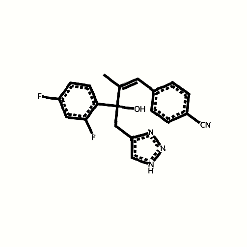 CC(=Cc1ccc(C#N)cc1)C(O)(Cc1c[nH]nn1)c1ccc(F)cc1F